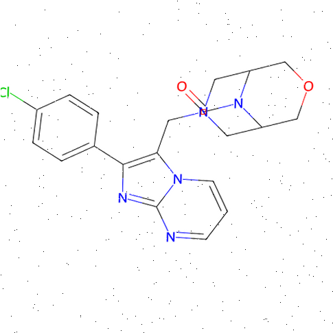 O=CN1C2COCC1CN(Cc1c(-c3ccc(Cl)cc3)nc3ncccn13)C2